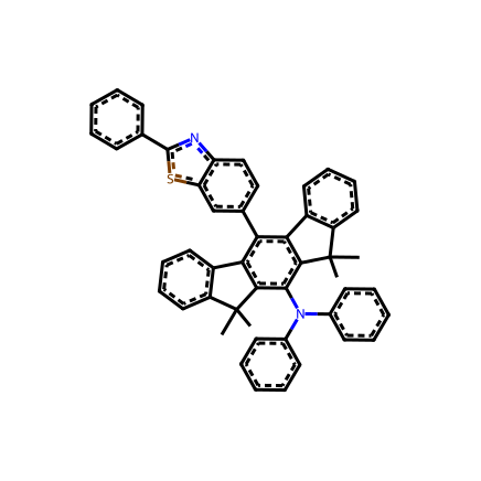 CC1(C)c2ccccc2-c2c(-c3ccc4nc(-c5ccccc5)sc4c3)c3c(c(N(c4ccccc4)c4ccccc4)c21)C(C)(C)c1ccccc1-3